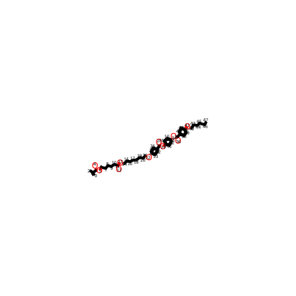 C=C(C)C(=O)OCCCCCC(=O)OCCCCCCCCOc1ccc(C(=O)Oc2ccc(OC(=O)c3ccc(OCCCCCC)cc3)cc2)cc1